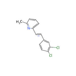 Cc1cccc(/C=C/c2ccc(Cl)c(Cl)c2)n1